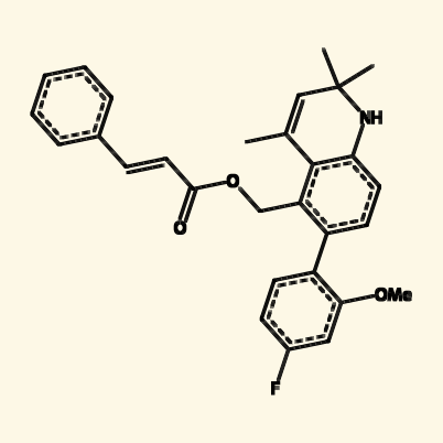 COc1cc(F)ccc1-c1ccc2c(c1COC(=O)C=Cc1ccccc1)C(C)=CC(C)(C)N2